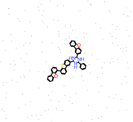 c1ccc(C2NC(c3ccc4oc5ccccc5c4c3)NC(c3ccc4sc5c(-c6cccc7c6oc6ccccc67)cccc5c4c3)N2)cc1